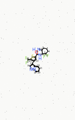 N[C@H]1CCCC(F)(F)[C@@H]1NC(=O)c1cc(-c2cnn3ccccc23)c(C(F)F)s1